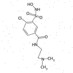 CN(C)CCNC(=O)c1ccc(Cl)c(S(=O)(=O)NO)c1